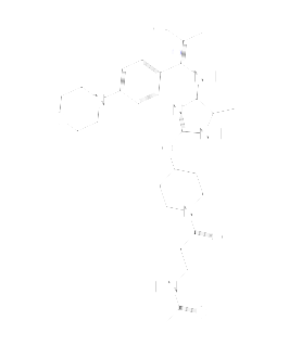 CC(=O)NCCC(=O)N1CCC(OC2=NC(N/C(=C(\C)Cl)c3ccc(N4CCOCC4)cc3)C(C)N2)CC1